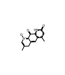 CC1=C[N+]([O-])=C2C(=O)c3[nH]c(=O)cc(C)c3C=C2C1